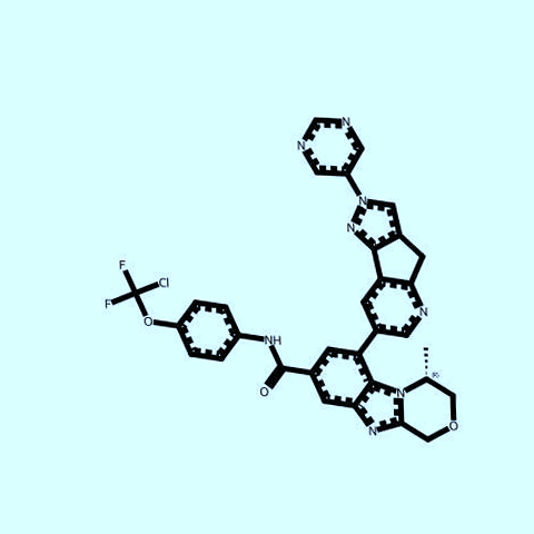 C[C@@H]1COCc2nc3cc(C(=O)Nc4ccc(OC(F)(F)Cl)cc4)cc(-c4cnc5c(c4)-c4nn(-c6cncnc6)cc4C5)c3n21